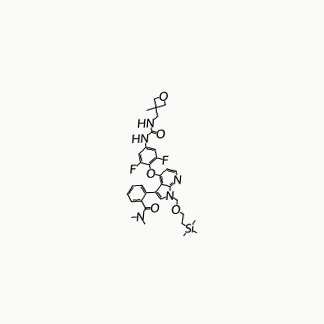 CN(C)C(=O)c1ccccc1-c1cn(COCC[Si](C)(C)C)c2nccc(Oc3c(F)cc(NC(=O)NCC4(C)COC4)cc3F)c12